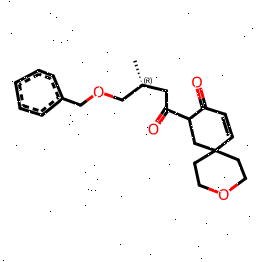 C[C@@H](COCc1ccccc1)CC(=O)C1CC2(C=CC1=O)CCOCC2